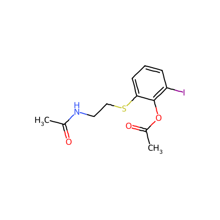 CC(=O)NCCSc1cccc(I)c1OC(C)=O